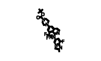 Cc1cn2cc(Nc3nccc4cc(N5CCN(C(=O)OC(C)(C)C)CC5)cc(C(F)(F)F)c34)cc(F)c2n1